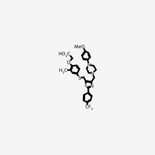 COc1ccc(N2CCN(Cc3nc(-c4ccc(C(F)(F)F)cc4)sc3CSc3ccc(OCC(=O)O)c(C)c3)CC2)cc1